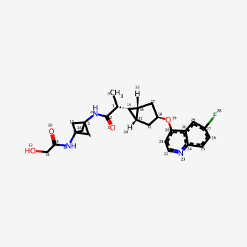 CC(C(=O)NC12CC(NC(=O)CO)(C1)C2)[C@@H]1[C@@H]2C[C@@H](Oc3ccnc4ccc(F)cc34)C[C@@H]21